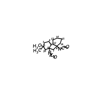 CC1(C)CCCC(CC2(N=C=O)CCCCC2)(N=C=O)C1